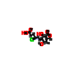 COc1c(C)c2c(c(O)c1C/C=C(\Cl)CCC(=O)O)C(=O)OC2